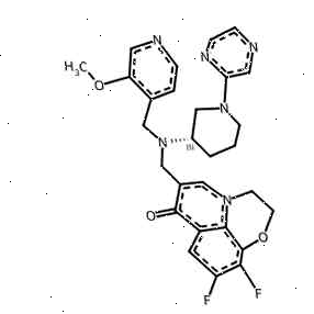 COc1cnccc1CN(Cc1cn2c3c(c(F)c(F)cc3c1=O)OCC2)[C@H]1CCCN(c2cnccn2)C1